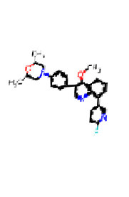 COc1c(-c2ccc(N3C[C@@H](C)O[C@@H](C)C3)cc2)cnc2c(-c3ccc(F)nc3)cccc12